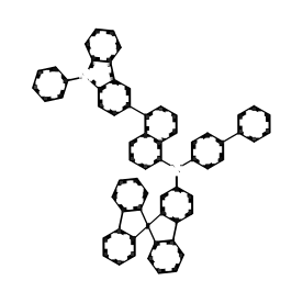 c1ccc(-c2ccc(N(c3ccc4c(c3)C3(c5ccccc5-c5ccccc53)c3ccccc3-4)c3cccc4c(-c5ccc6c(c5)c5ccccc5n6-c5ccccc5)cccc34)cc2)cc1